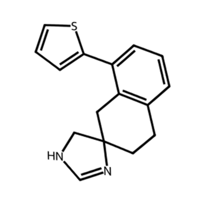 C1=NC2(CCc3cccc(-c4cccs4)c3C2)CN1